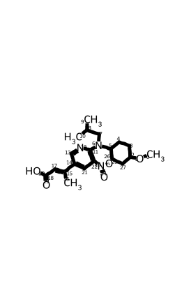 COC1CCC(N(CC(C)C)c2ncc(/C(C)=C/C(=O)O)cc2[N+](=O)[O-])CC1